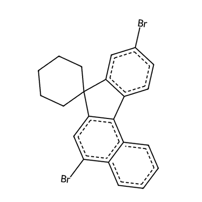 Brc1ccc2c(c1)C1(CCCCC1)c1cc(Br)c3ccccc3c1-2